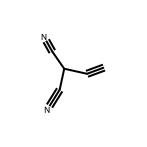 C#CC(C#N)C#N